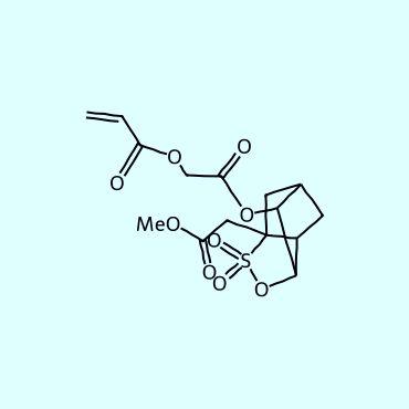 C=CC(=O)OCC(=O)OC1C2CC3C1OS(=O)(=O)C3(CC(=O)OC)C2